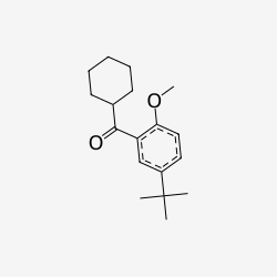 COc1ccc(C(C)(C)C)cc1C(=O)C1CCCCC1